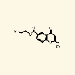 CCSc1cc(=O)c2cc(C(=O)OCCBr)ccc2o1